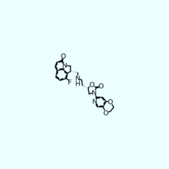 O=C1O[C@@H](CCNC[C@H]2Cn3c(=O)ccc4ccc(F)c2c43)CN1c1cc2c(cn1)OCCO2